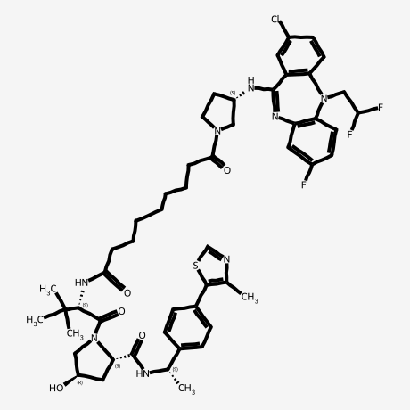 Cc1ncsc1-c1ccc([C@H](C)NC(=O)[C@@H]2C[C@@H](O)CN2C(=O)[C@@H](NC(=O)CCCCCCCC(=O)N2CC[C@H](NC3=Nc4cc(F)ccc4N(CC(F)F)c4ccc(Cl)cc43)C2)C(C)(C)C)cc1